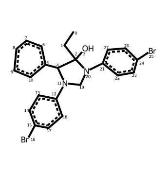 CCC1(O)C(c2ccccc2)N(c2ccc(Br)cc2)CN1c1ccc(Br)cc1